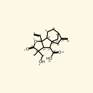 C=CC12OC(=O)C(C)(CO)C1C(C(=O)O)C13CC(=C)C(CCC12)C3